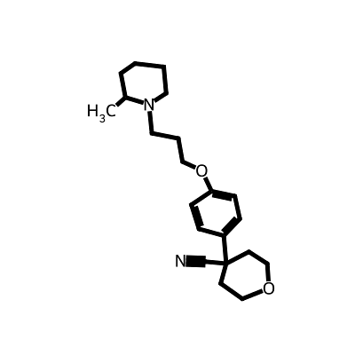 CC1CCCCN1CCCOc1ccc(C2(C#N)CCOCC2)cc1